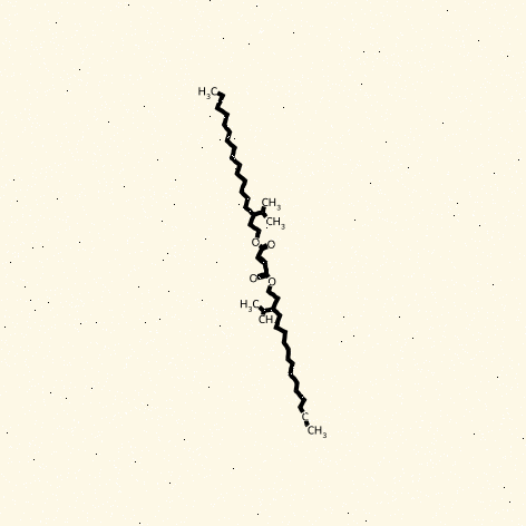 CCCCCCCCCCCCCCCC(CCOC(=O)C=CC(=O)OCCC(CCCCCCCCCCCCCCC)C(C)C)C(C)C